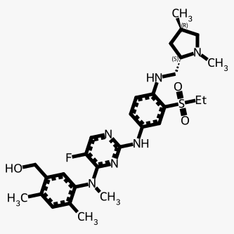 CCS(=O)(=O)c1cc(Nc2ncc(F)c(N(C)c3cc(CO)c(C)cc3C)n2)ccc1NC[C@@H]1C[C@@H](C)CN1C